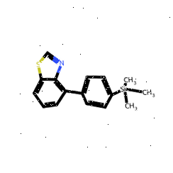 C[Si](C)(C)c1ccc(-c2cccc3scnc23)cc1